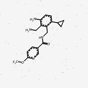 NCc1c(N)ccc(C2CC2)c1CNC(=O)c1ccc(OC(F)(F)F)nc1